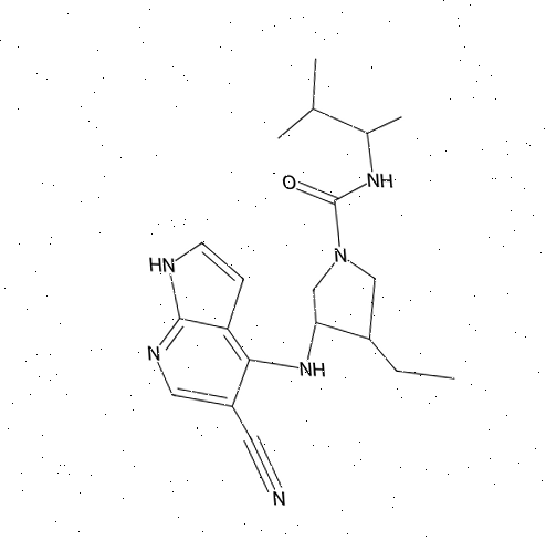 CCC1CN(C(=O)NC(C)C(C)C)CC1Nc1c(C#N)cnc2[nH]ccc12